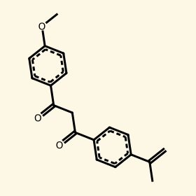 C=C(C)c1ccc(C(=O)CC(=O)c2ccc(OC)cc2)cc1